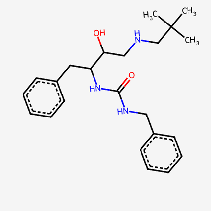 CC(C)(C)CNCC(O)C(Cc1ccccc1)NC(=O)NCc1ccccc1